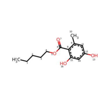 CCCCCOC(=O)c1c(C)cc(O)cc1O